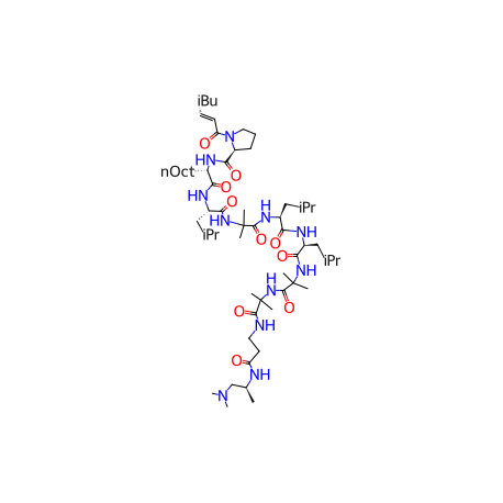 CCCCCCCC[C@H](NC(=O)[C@@H]1CCCN1C(=O)/C=C/[C@@H](C)CC)C(=O)N[C@@H](CC(C)C)C(=O)NC(C)(C)C(=O)N[C@@H](CC(C)C)C(=O)N[C@@H](CC(C)C)C(=O)NC(C)(C)C(=O)NC(C)(C)C(=O)NCCC(=O)N[C@@H](C)CN(C)C